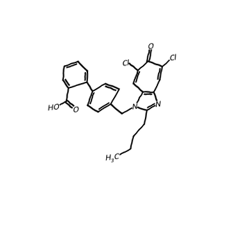 CCCCc1nc2cc(Cl)c(=O)c(Cl)cc2n1Cc1ccc(-c2ccccc2C(=O)O)cc1